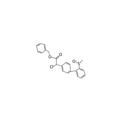 C[S+]([O-])c1ccccc1-c1ccc(C(Cl)C(=O)OCc2ccccc2)cc1